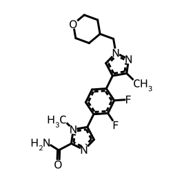 Cc1nn(CC2CCOCC2)cc1-c1ccc(-c2cnc(C(N)=O)n2C)c(F)c1F